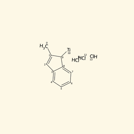 CC1=Cc2ccccc2[CH]1[Ti].Cl.Cl.Cl